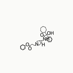 O=C(CCN1CC2[C@H](C1)[C@H]2NC(=O)C(O)(c1ccccc1)C1CCCCCC1)Oc1ccccc1